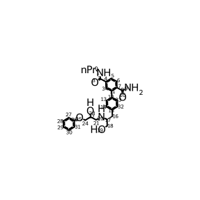 CCCNC(=O)c1ccc(C(N)=O)c(-c2ccc(C[C@@H](CO)NC[C@H](O)COc3ccccc3)cc2)c1